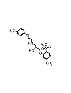 Cc1ccc(OCCNCC(O)COc2cc(C)ccc2S(C)(=O)=O)cc1